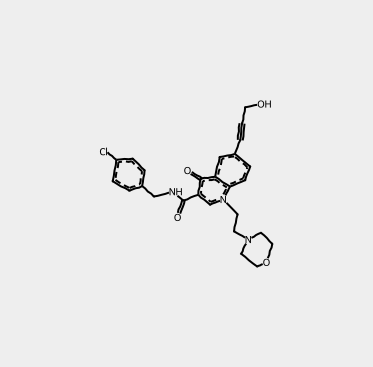 O=C(NCc1ccc(Cl)cc1)c1cn(CCN2CCOCC2)c2ccc(C#CCO)cc2c1=O